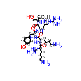 N=C(N)NCCC[C@H](NC(=O)C(Cc1ccc(O)cc1)NC(=O)[C@H](CCCCN)NC(=O)C(CCCCN)NN)C(=O)NC(CO)C(=O)O